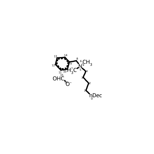 CCCCCCCCCCCCCC[N+](C)(C)Cc1ccccc1.O=C[O-]